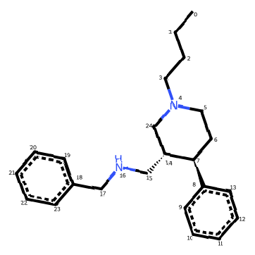 CCCCN1CC[C@@H](c2ccccc2)[C@H](CNCc2ccccc2)C1